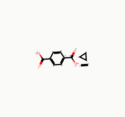 C1CC1.C=C.O=C(O)c1ccc(C(=O)O)cc1